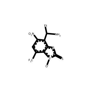 CCC(N)c1c([N+](=O)[O-])cc(C(F)(F)F)c2c1sc(=S)[s+]2[O-]